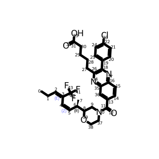 CC/C=C(\C=C/[C@@H](C)C1CN(C(=O)c2ccc3nc(-c4ccc(Cl)cc4)c(CCCCC(=O)O)nc3c2)CCO1)C(F)(F)F